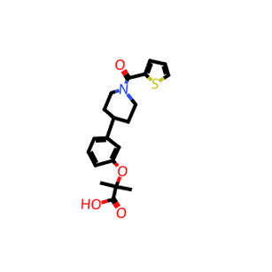 CC(C)(Oc1cccc(C2CCN(C(=O)c3cccs3)CC2)c1)C(=O)O